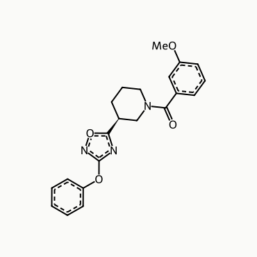 COc1cccc(C(=O)N2CCC[C@H](c3nc(Oc4ccccc4)no3)C2)c1